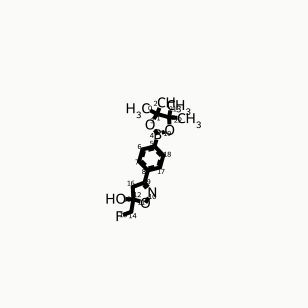 CC1(C)OB(c2ccc(C3=NOC(O)(CF)C3)cc2)OC1(C)C